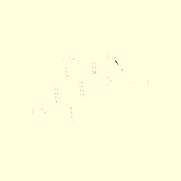 CC[C@](C)(NC(=O)c1cc(Br)c(N)cc1OC)C(=O)O